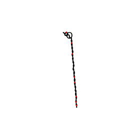 CC#CC#CC#CC#CC#CC#CC#CC#CC#CC#CC#CC#CC#CC#CC#CC#CC#CC#CC#CCCOc1ccc(C)cc1